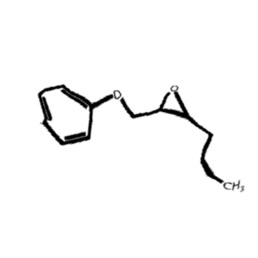 CCCC1OC1COc1cc[c]cc1